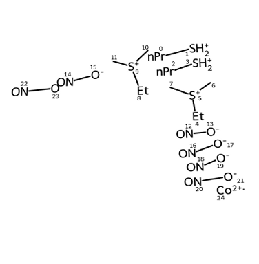 CCC[SH2+].CCC[SH2+].CC[S+](C)C.CC[S+](C)C.O=N[O-].O=N[O-].O=N[O-].O=N[O-].O=N[O-].O=N[O-].[Co+2]